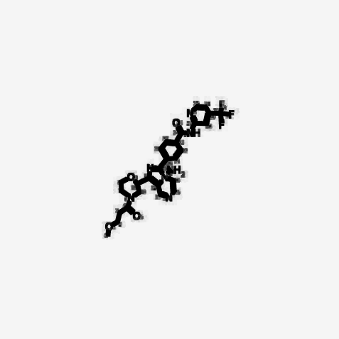 COCCC(=O)N1CCOC(C2=C3C=NC=C[N+]3(N)C(c3ccc(C(=O)Nc4cc(C(F)(F)F)ccn4)cc3)=N2)C1